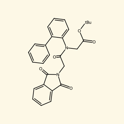 CC(C)(C)OC(=O)CN(C(=O)CN1C(=O)c2ccccc2C1=O)c1ccccc1-c1ccccc1